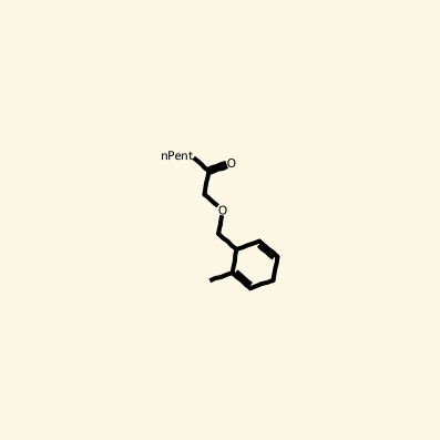 CCCCCC(=O)COCC1C=CCC=C1C